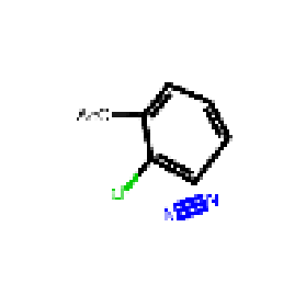 CC(=O)Oc1ccccc1Cl.N#N